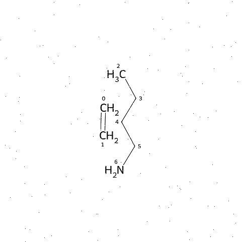 C=C.CCCCN